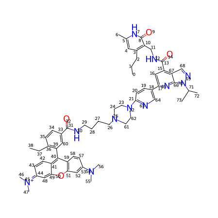 CCCc1cc(C)[nH]c(=O)c1CNC(=O)c1cc(-c2ccc(N3CCN(CCCCNC(=O)c4ccc(CC)c(-c5c6ccc(=[N+](C)C)cc-6oc6cc(N(C)C)ccc56)c4)CC3)nc2)nc2c1cnn2C(C)C